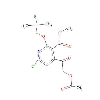 COC(=O)c1c(C(=O)COC(C)=O)cc(Cl)nc1OCC(C)(C)F